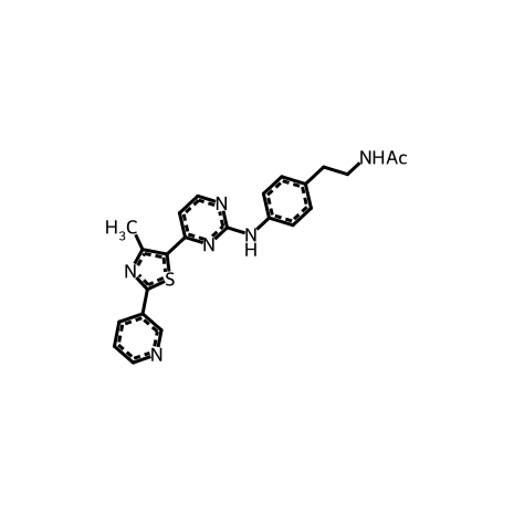 CC(=O)NCCc1ccc(Nc2nccc(-c3sc(-c4cccnc4)nc3C)n2)cc1